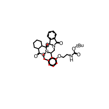 CC(C)(C)OC(=O)NCCOc1cccc2c1C(CN1C(=O)c3ccccc3C1=O)N(C(=O)C1CCCCC1C(=O)OCc1ccccc1)CC2